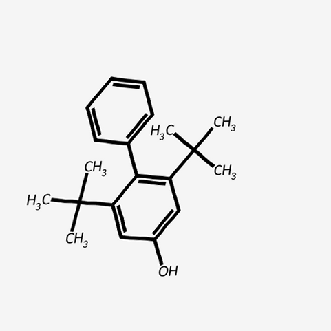 CC(C)(C)c1cc(O)cc(C(C)(C)C)c1-c1ccccc1